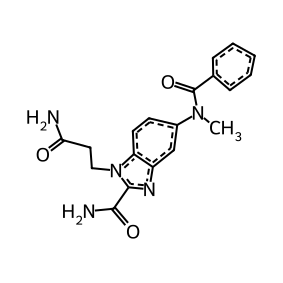 CN(C(=O)c1ccccc1)c1ccc2c(c1)nc(C(N)=O)n2CCC(N)=O